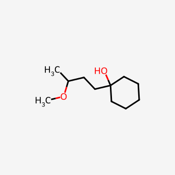 COC(C)CCC1(O)CCCCC1